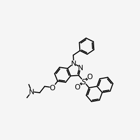 CN(C)CCOc1ccc2c(c1)c(S(=O)(=O)c1cccc3ccccc13)nn2Cc1ccccc1